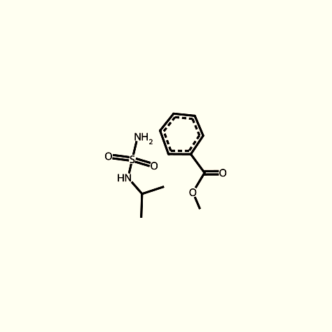 CC(C)NS(N)(=O)=O.COC(=O)c1ccccc1